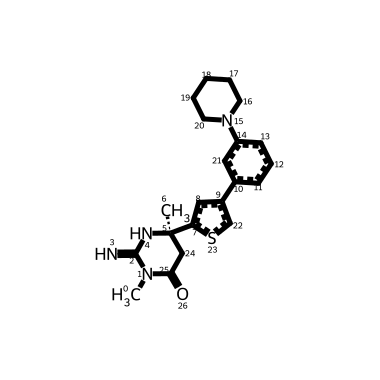 CN1C(=N)N[C@@](C)(c2cc(-c3cccc(N4CCCCC4)c3)cs2)CC1=O